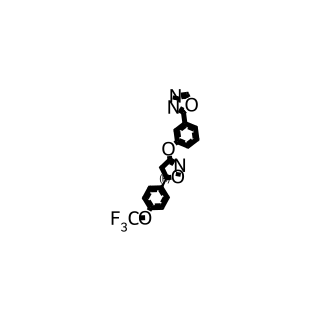 FC(F)(F)Oc1ccc([C@H]2CC(Oc3cccc(-c4nnco4)c3)=NO2)cc1